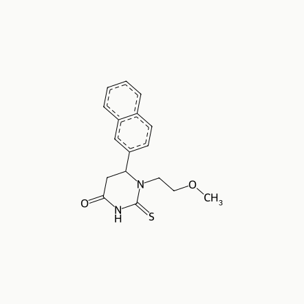 COCCN1C(=S)NC(=O)CC1c1ccc2ccccc2c1